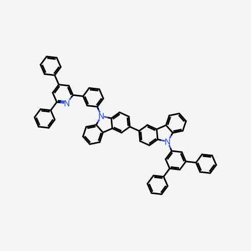 c1ccc(-c2cc(-c3ccccc3)cc(-n3c4ccccc4c4cc(-c5ccc6c(c5)c5ccccc5n6-c5cccc(-c6cc(-c7ccccc7)cc(-c7ccccc7)n6)c5)ccc43)c2)cc1